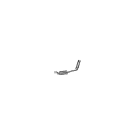 C=CC#[15N]